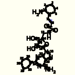 Nc1ccccc1/C=C/S(=O)(=O)NC[C@H]1O[C@@H](n2cnc3c(N)nc(-c4ccccc4)nc32)[C@H](O)[C@@H]1O